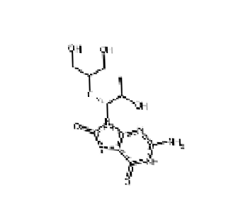 C[C@@H](O)[C@@H](OC(CO)CO)n1c(=O)sc2c(=O)[nH]c(N)nc21